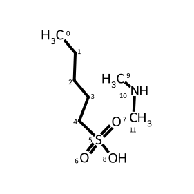 CCCCCS(=O)(=O)O.CNC